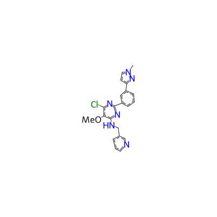 COc1c(Cl)nc(-c2cccc(-c3ccn(C)n3)c2)nc1NCc1cccnc1